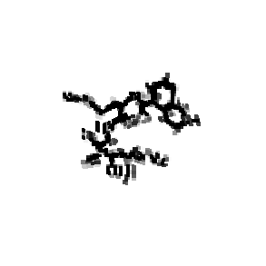 CSCCC(NC(=O)c1cccc2c1CCNC2)C(=O)NCC(=O)N(C)C(CCSC)C(=O)O